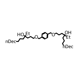 CCCCCCCCCCCCCC(O)(CC)CCCOCc1ccc(COCCCC(O)(CC)CCCCCCCCCCCCC)cc1